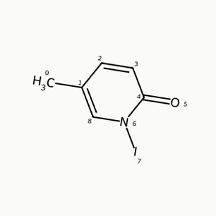 Cc1ccc(=O)n(I)c1